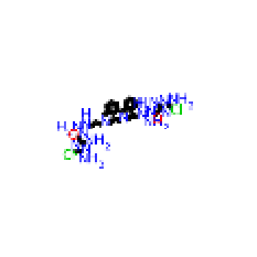 N/C(=N\C(=O)c1nc(Cl)c(N)nc1N)NCCCN(CCCN(CCCN/C(N)=N/C(=O)c1nc(Cl)c(N)nc1N)Cc1ccccc1)Cc1ccccc1